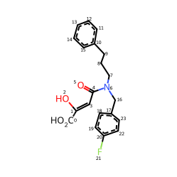 O=C(O)C(O)=CC(=O)N(CCCc1ccccc1)Cc1ccc(F)cc1